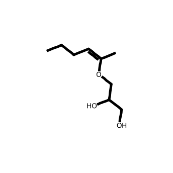 CCCC=C(C)OCC(O)CO